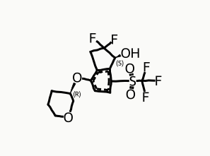 O=S(=O)(c1ccc(O[C@@H]2CCCOC2)c2c1[C@H](O)C(F)(F)C2)C(F)(F)F